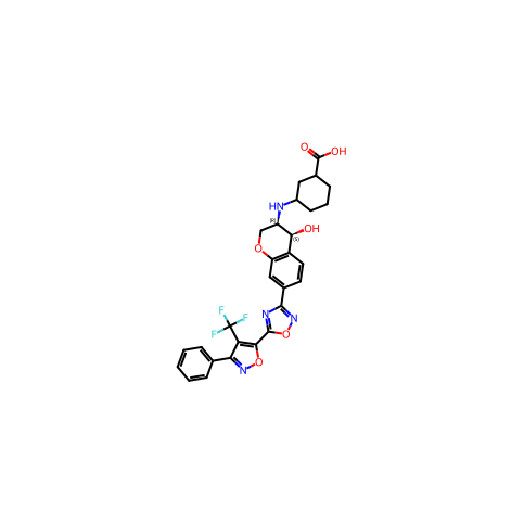 O=C(O)C1CCCC(N[C@@H]2COc3cc(-c4noc(-c5onc(-c6ccccc6)c5C(F)(F)F)n4)ccc3[C@@H]2O)C1